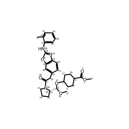 COC(=O)C1CCC(OC(OC)[C@@H]2CCCN2C(=O)Cc2ccc3nc(Nc4ccccc4C)oc3c2)CC1